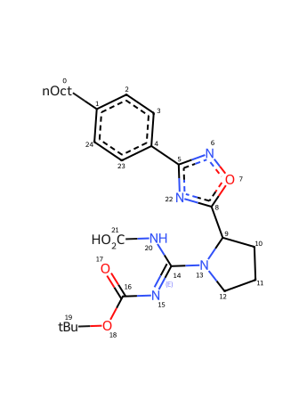 CCCCCCCCc1ccc(-c2noc(C3CCCN3/C(=N/C(=O)OC(C)(C)C)NC(=O)O)n2)cc1